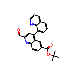 CC(C)(C)OC(=O)c1ccc2nc(C=O)cc(-c3cccc4cccnc34)c2c1